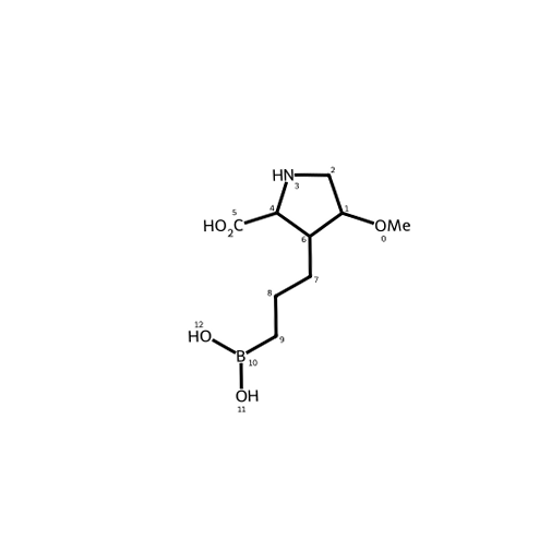 COC1CNC(C(=O)O)C1CCCB(O)O